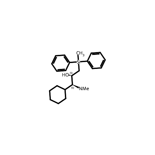 CN[C@@H](C1CCCCC1)[C@H](O)C[Si](C)(c1ccccc1)c1ccccc1